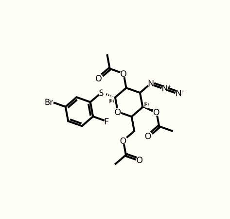 CC(=O)OCC1O[C@H](Sc2cc(Br)ccc2F)C(OC(C)=O)C(N=[N+]=[N-])[C@H]1OC(C)=O